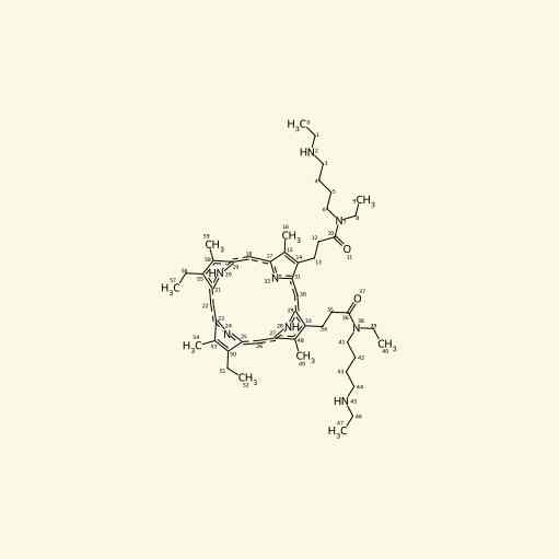 CCNCCCCN(CC)C(=O)CCC1=C(C)c2cc3[nH]c(cc4nc(cc5[nH]c(cc1n2)c(CCC(=O)N(CC)CCCCNCC)c5C)C(CC)=C4C)c(CC)c3C